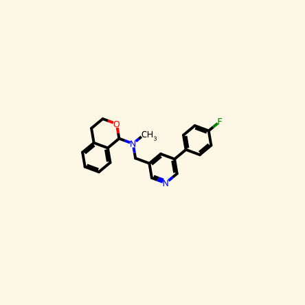 CN(Cc1cncc(-c2ccc(F)cc2)c1)C1OCCc2ccccc21